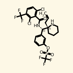 C=CC[C@]1([C@@H](NC(=O)c2c(Cl)ccc(C(F)(F)F)c2Cl)c2cccc(OS(=O)(=O)C(F)(F)F)c2)CCCCN1